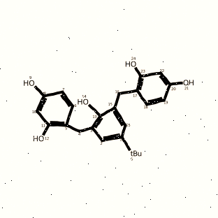 CC(C)(C)c1cc(Cc2ccc(O)cc2O)c(O)c(Cc2ccc(O)cc2O)c1